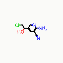 N#Cc1cc(C(O)CCl)cnc1N